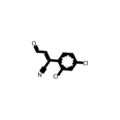 N#CC(=CC=O)c1ccc(Cl)cc1Cl